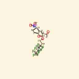 CC(=O)C(=Cc1cccc([N+](=O)[O-])c1)C(=O)OCCC(F)(F)C(F)(F)C(F)(F)C(F)(F)F